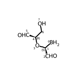 B[C@@H](C=O)O[C@@H](C=O)CO